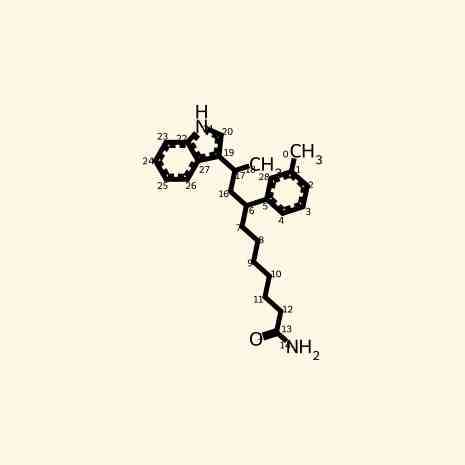 Cc1cccc(C(CCCCCCC(N)=O)CC(C)c2c[nH]c3ccccc23)c1